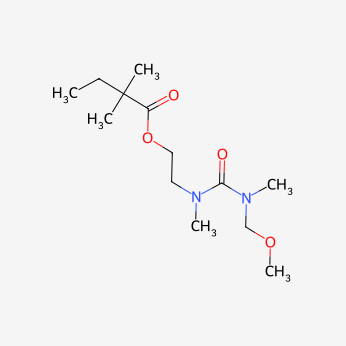 CCC(C)(C)C(=O)OCCN(C)C(=O)N(C)COC